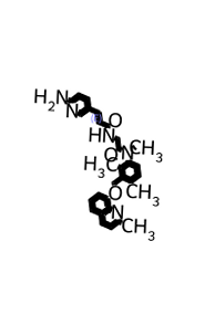 Cc1ccc2cccc(OCc3c(C)ccc(N(C)C(=O)CNC(=O)/C=C/c4ccc(N)nc4)c3C)c2n1